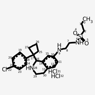 CCCS(=O)(=O)NCCNc1ccc2c(c1)C(C1(c3ccc(Cl)cc3)CCC1)NCC2.Cl.Cl